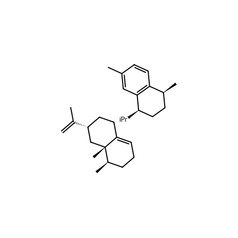 C=C(C)[C@@H]1CCC2=CCC[C@@H](C)[C@]2(C)C1.Cc1ccc2c(c1)[C@H](C(C)C)CC[C@@H]2C